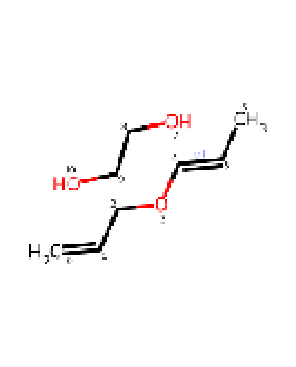 C=CCO/C=C/C.OCCO